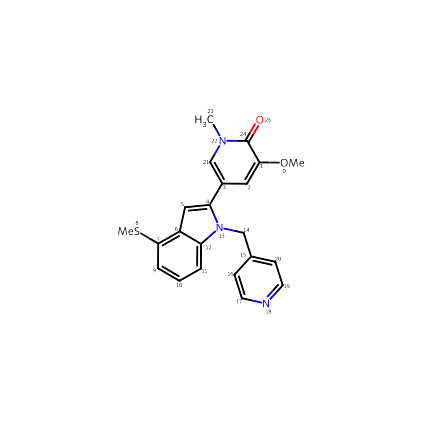 COc1cc(-c2cc3c(SC)cccc3n2Cc2ccncc2)cn(C)c1=O